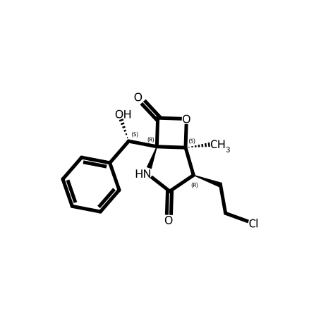 C[C@@]12OC(=O)[C@]1([C@@H](O)c1ccccc1)NC(=O)[C@@H]2CCCl